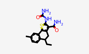 CCC1Cc2c(sc(NC(N)=O)c2C(N)=O)-c2cc(C)ccc21